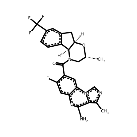 Cc1ncn2c1c(N)nc1cc(F)c(C(=O)N3C[C@@H](C)O[C@@H]4Cc5cc(C(F)(F)F)ccc5[C@@H]43)cc12